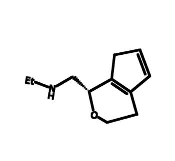 CCNC[C@H]1OCCC2=C1CC=C2